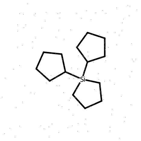 C1CCC([Si]2(C3CCCC3)CCCC2)C1